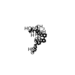 COc1nc(-c2cccc(-c3cccc4c3CC[C@@H]4Nc3nc(OC)c(CNC4(C(=O)O)CC4)cc3C(F)(F)F)c2Cl)ccc1CN1CC2(CCC(=O)N2)C1